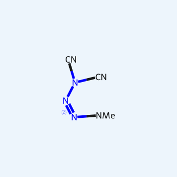 CN/N=N\N(C#N)C#N